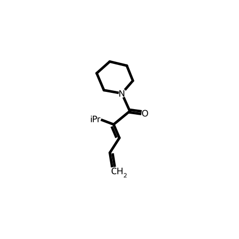 C=C/C=C(/C(=O)N1CCCCC1)C(C)C